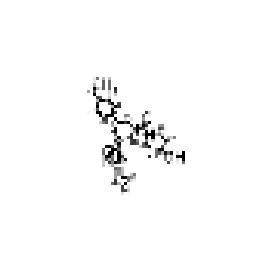 CCc1ccc(C2CC(c3nc(N4CCC4)no3)CN(C(=O)N3CCC(O)CC3)C2)cc1